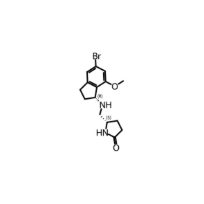 COc1cc(Br)cc2c1[C@H](NC[C@@H]1CCC(=O)N1)CC2